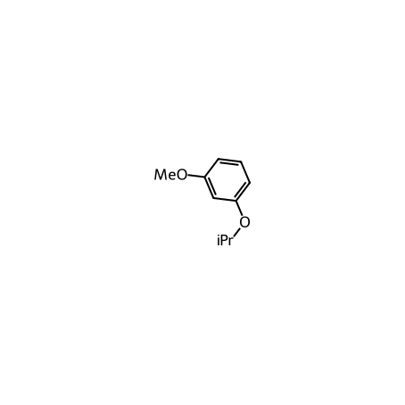 COc1cccc(OC(C)C)c1